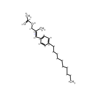 CCCCCCCCCCc1ccc(/C=C(\C)COC(C)=O)cc1